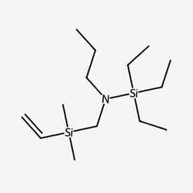 C=C[Si](C)(C)CN(CCC)[Si](CC)(CC)CC